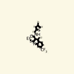 CCSc1nc2cc(C(F)(F)F)ccc2c(C)c1C(=O)NCc1cc(C)cs1